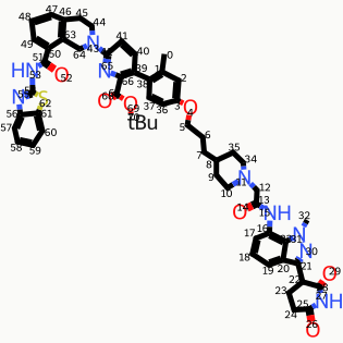 Cc1cc(OCCCC2CCN(CC(=O)Nc3cccc4c(C5CCC(=O)NC5=O)nn(C)c34)CC2)ccc1-c1ccc(N2CCc3cccc(C(=O)Nc4nc5ccccc5s4)c3C2)nc1C(=O)OC(C)(C)C